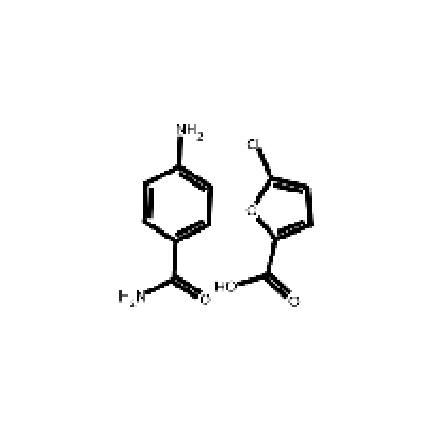 NC(=O)c1ccc(N)cc1.O=C(O)c1ccc(Cl)o1